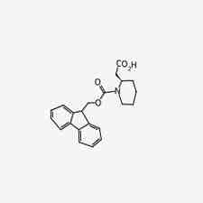 O=C(O)C[C@H]1CCCCN1C(=O)OCC1c2ccccc2-c2ccccc21